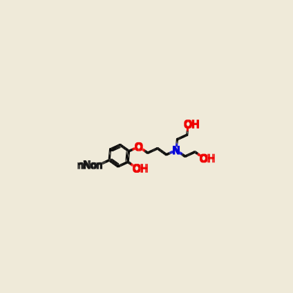 CCCCCCCCCc1ccc(OCCCN(CCO)CCO)c(O)c1